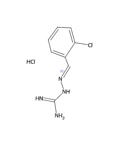 Cl.N=C(N)N/N=C/c1ccccc1Cl